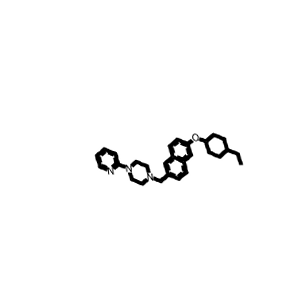 CCC1CCC(Oc2ccc3cc(CN4CCN(c5ccccn5)CC4)ccc3c2)CC1